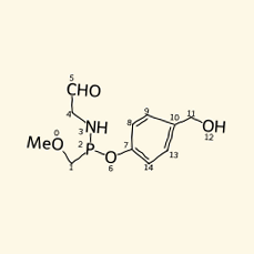 COCP(NCC=O)Oc1ccc(CO)cc1